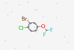 FC(F)Oc1ccc(Cl)c(Br)c1